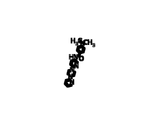 CN(C)c1ccc(C(=O)Nc2ccc(N3CCN(c4ccccn4)CC3)nc2)cc1